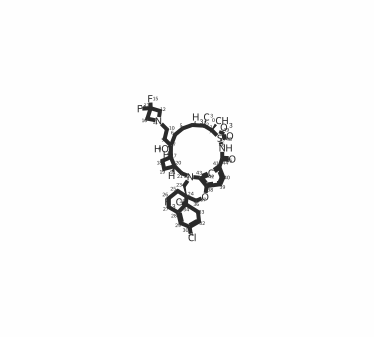 C[C@@H]1[C@@H](C)CCC[C@](O)(CCN2CC(F)(F)C2)[C@@H]2CC[C@H]2CN2C[C@@]3(CCCC4=CC(Cl)=CCC43C)COc3ccc(cc32)C(=O)NS1(=O)=O